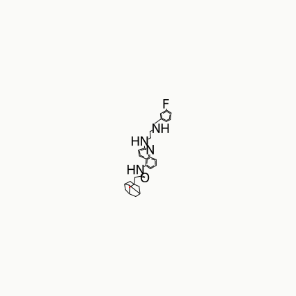 O=C(CC12CC3CC(CC(C3)C1)C2)Nc1cccc2nc(NCCNCc3cccc(F)c3)ccc12